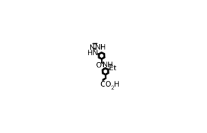 CCc1cc(C=CC(=O)O)ccc1NC(=O)c1cccc(NC2=NCCN2)c1